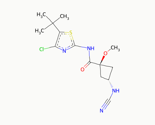 CO[C@]1(C(=O)Nc2nc(Cl)c(C(C)(C)C)s2)C[C@@H](NC#N)C1